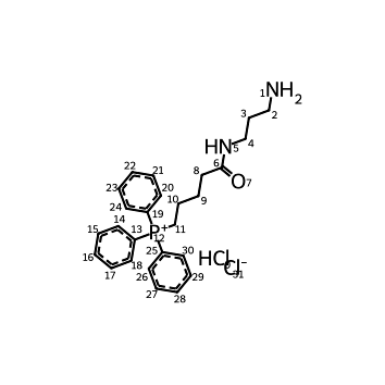 Cl.NCCCNC(=O)CCCC[P+](c1ccccc1)(c1ccccc1)c1ccccc1.[Cl-]